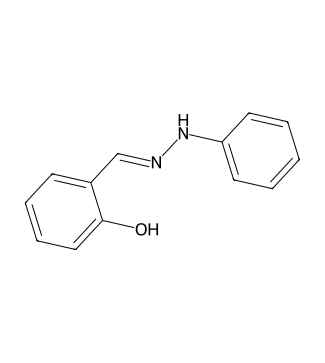 Oc1ccccc1C=NNc1ccccc1